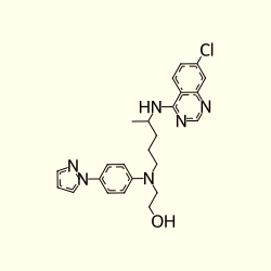 CC(CCCN(CCO)c1ccc(-n2cccn2)cc1)Nc1ncnc2cc(Cl)ccc12